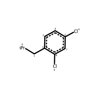 C[C](C)Cc1ccc(Cl)cc1Cl